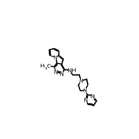 Cc1nnc(NCCN2CCN(c3ncccn3)CC2)c2cc3ccccn3c12